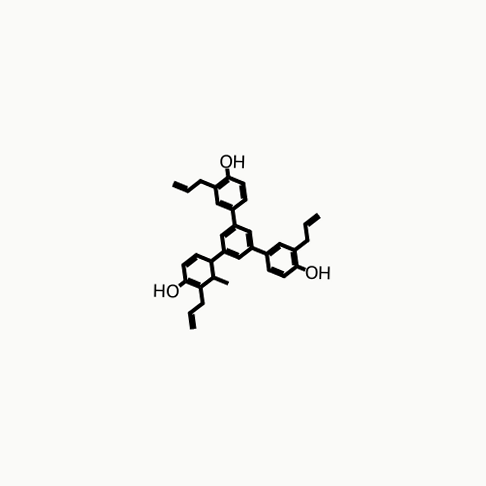 C=CCC1=C(O)C=CC(c2cc(-c3ccc(O)c(CC=C)c3)cc(-c3ccc(O)c(CC=C)c3)c2)C1C